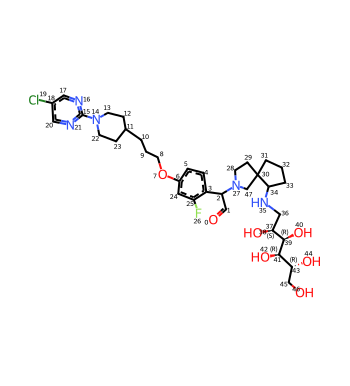 O=CC(c1ccc(OCCCC2CCN(c3ncc(Cl)cn3)CC2)cc1F)N1CCC2(CCCC2NC[C@H](O)[C@@H](O)[C@H](O)[C@H](O)CO)C1